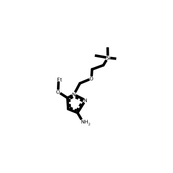 CCOc1cc(N)nn1COCC[Si](C)(C)C